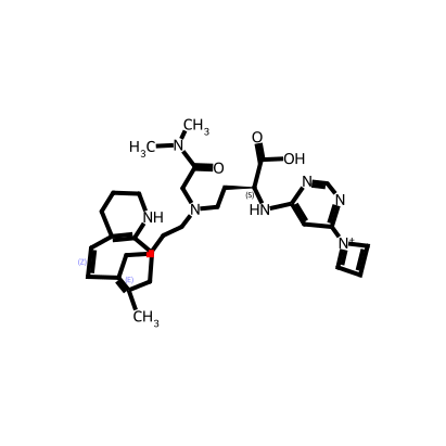 C/C1=C(CCCCN(CC[C@H](Nc2cc([N+]3=CC=C3)ncn2)C(=O)O)CC(=O)N(C)C)\C=C/C2=C(CC1)NCCC2